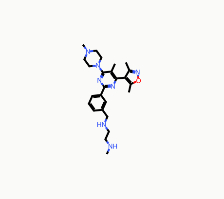 CNCCNCc1cccc(-c2nc(-c3c(C)noc3C)c(C)c(N3CCN(C)CC3)n2)c1